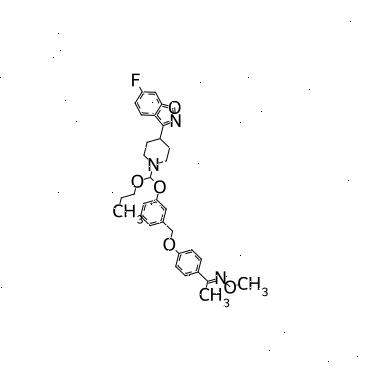 CCCOC(Oc1cccc(COc2ccc(C(C)=NOC)cc2)c1)N1CCC(c2noc3cc(F)ccc23)CC1